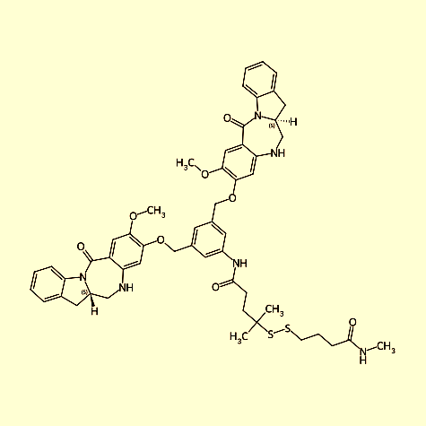 CNC(=O)CCCSSC(C)(C)CCC(=O)Nc1cc(COc2cc3c(cc2OC)C(=O)N2c4ccccc4C[C@H]2CN3)cc(COc2cc3c(cc2OC)C(=O)N2c4ccccc4C[C@H]2CN3)c1